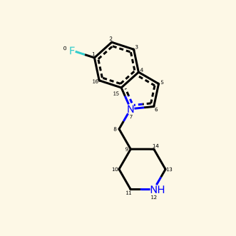 Fc1ccc2ccn(CC3CCNCC3)c2c1